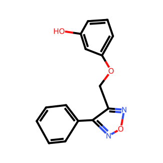 Oc1cccc(OCc2nonc2-c2ccccc2)c1